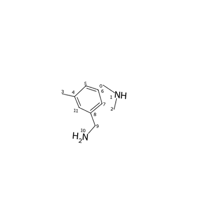 CNC.Cc1cccc(CN)c1